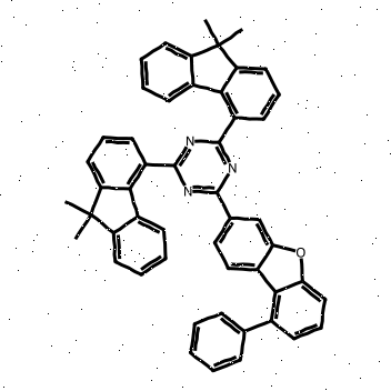 CC1(C)c2ccccc2-c2c(-c3nc(-c4ccc5c(c4)oc4cccc(-c6ccccc6)c45)nc(-c4cccc5c4-c4ccccc4C5(C)C)n3)cccc21